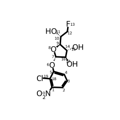 O=[N+]([O-])c1cccc(O[C@@H]2O[C@@H]([C@H](O)CF)[C@H](O)[C@H]2O)c1Cl